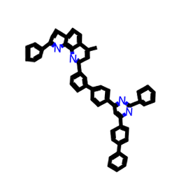 Cc1cc(-c2cccc(-c3ccc(-c4cc(-c5ccc(-c6ccccc6)cc5)nc(-c5ccccc5)n4)cc3)c2)nc2c1ccc1ccc(-c3ccccc3)nc12